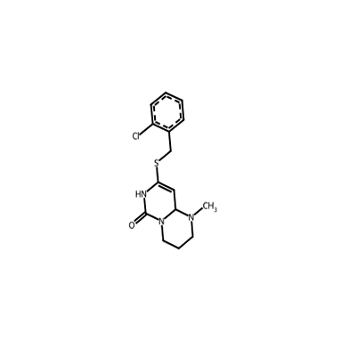 CN1CCCN2C(=O)NC(SCc3ccccc3Cl)=CC12